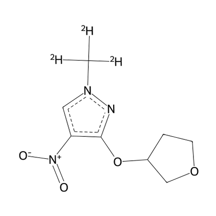 [2H]C([2H])([2H])n1cc([N+](=O)[O-])c(OC2CCOC2)n1